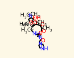 CO[C@]1(C)C[C@@H](C)CNCC2(CN(C(=O)CN3CCNCC3)C2)OC(=O)C(C)C(=O)[C@H](C)[C@H]1O[C@@H]1O[C@H](C)C[C@H](N(C)C)[C@H]1O